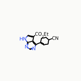 CCOC(=O)c1c[nH]c2ncnc(C3=CCC(C#N)CC3)c12